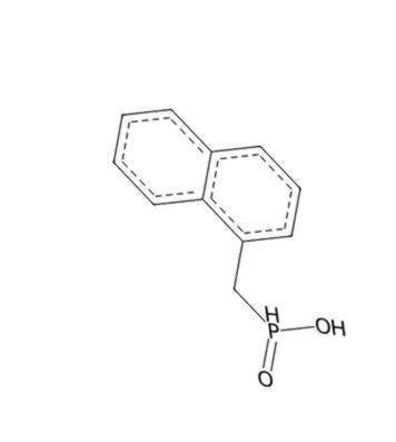 O=[PH](O)Cc1cccc2ccccc12